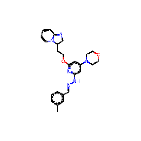 Cc1cccc(/C=N/Nc2cc(N3CCOCC3)cc(OCCC3CN=C4C=CC=CN43)n2)c1